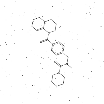 CN(Cc1ccc(C(=O)N2CCCC3CCCC=C32)cc1)C(=O)N1CCCCC1